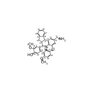 COc1cc(C2Nc3ccc(CN)cc3C3c4ccccc4CC23)c(-c2cc(Cl)ccc2OC)cc1O